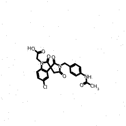 CC(=O)Nc1ccc(CN2C(=O)CC3(C2=O)C(=O)N(CC(=O)O)c2ccc(Cl)cc23)cc1